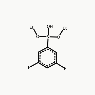 CCO[Si](O)(OCC)c1cc(F)cc(F)c1